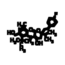 Cc1cc(SC2=C(O)CC(CCc3ccc(F)cc3)(C(C)C)OC2=O)c(C(C)(C)C)c(CO)n1